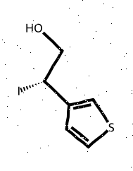 OC[C@@H](I)c1ccsc1